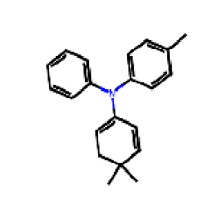 Cc1ccc(N(C2=CCC(C)(C)C=C2)c2ccccc2)cc1